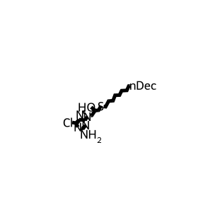 CCCCCCCCCCCCCCCCCCSCC(O)Cn1cnc2c(Cl)nc(N)nc21